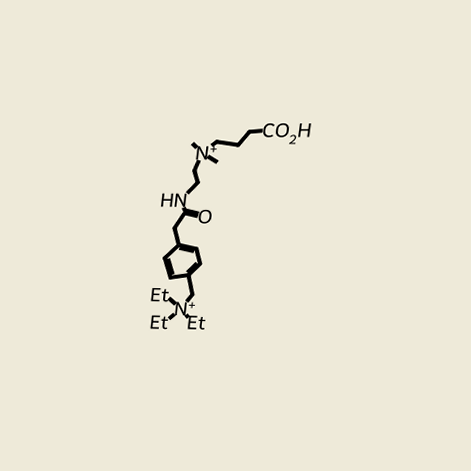 CC[N+](CC)(CC)Cc1ccc(CC(=O)NCC[N+](C)(C)CCCC(=O)O)cc1